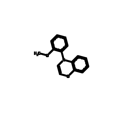 COc1ccccc1N1C=COc2ccccc21